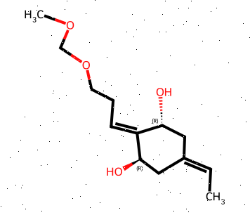 CC=C1C[C@@H](O)C(=CCCOCOC)[C@H](O)C1